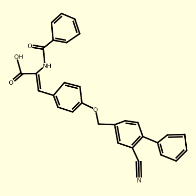 N#Cc1cc(COc2ccc(C=C(NC(=O)c3ccccc3)C(=O)O)cc2)ccc1-c1ccccc1